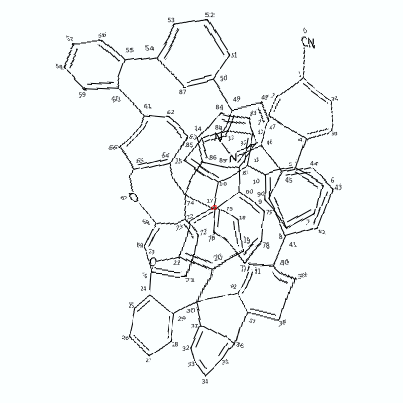 N#Cc1ccc(-c2ccccc2-c2ccccc2-c2ccc3c(c2)Oc2ccccc2C32c3ccccc3-c3ccc(-c4cccc(-c5ccc(-c6cccc(-c7ccccc7-c7ccc8c(c7)Oc7ccccc7C87c8ccccc8-c8ccccc87)c6)nn5)c4)cc32)cc1